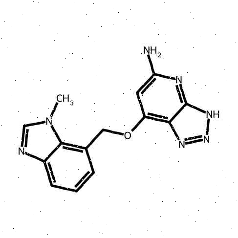 Cn1cnc2cccc(COc3cc(N)nc4[nH]nnc34)c21